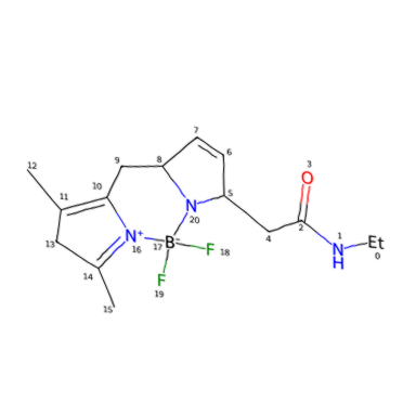 CCNC(=O)CC1C=CC2CC3=C(C)CC(C)=[N+]3[B-](F)(F)N12